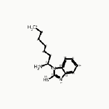 CCCCCCC(N)n1c(S)nc2ccccc21